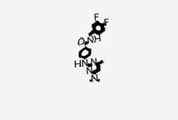 Cc1cc(N(C)C)nc(N[C@H]2CC[C@@H](C(=O)NCc3ccc(F)c(F)c3)CC2)n1